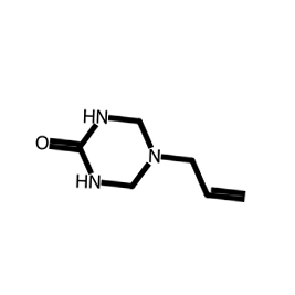 C=CCN1CNC(=O)NC1